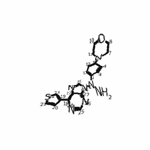 NN(c1ccc(N2CCOCC2)cc1)n1cnc2c(-c3ccsc3)ncnc21